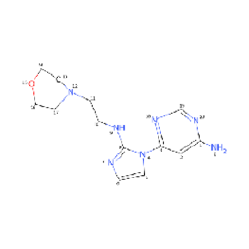 Nc1cc(-n2ccnc2NCCN2CCOCC2)ncn1